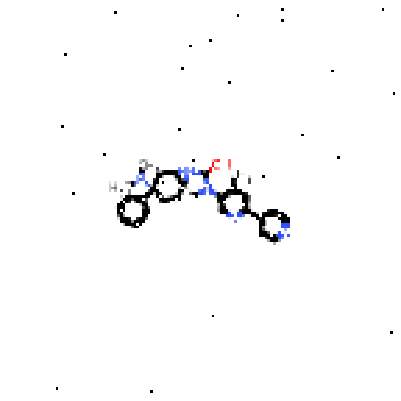 Cc1cc(-c2ccncc2)ncc1N1C[C@]2(CC[C@](c3ccccc3)(N(C)C)CC2)NC1O